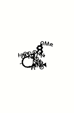 COc1ccc2c(O[C@@H]3C[C@H]4C(=O)N[C@]5(C(=O)NS(=O)(=O)C6CC6)C[C@H]5/C=C\CC[C@@H](C)C[C@@H](C)[C@H](NC(=O)O)C(=O)N4C3)nc(N(C)C)cc2c1